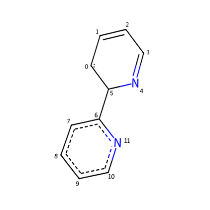 [C]1C=CC=NC1c1ccccn1